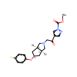 CC(C)(C)OC(=O)n1cc(C(=O)CN2C[C@H]3C[C@@H](Oc4ccc(F)cc4)C[C@H]3C2)cn1